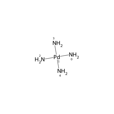 [NH2][Pd]([NH2])([NH2])[NH2]